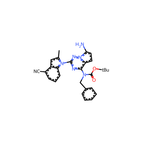 Cc1cc2c(C#N)cccc2n1-c1nc(N(Cc2ccccc2)C(=O)OC(C)(C)C)c2ccc(N)n2n1